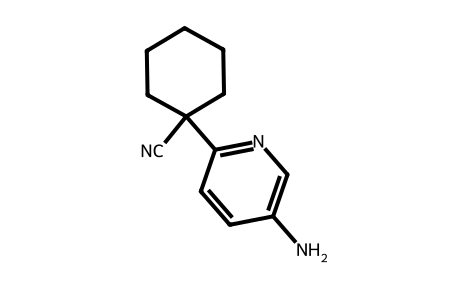 N#CC1(c2ccc(N)cn2)CCCCC1